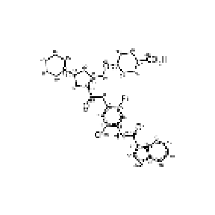 O=C(Nc1cc(F)c(CC(=O)N2C[C@@H](N3CCCCC3)C[C@H]2CO[C@H]2CC[C@H](C(=O)O)CC2)cc1Cl)c1csc2ccccc12